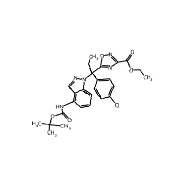 CCOC(=O)c1noc(C(CC)(c2ccc(Cl)cc2)n2ncc3c(NC(=O)OC(C)(C)C)cccc32)n1